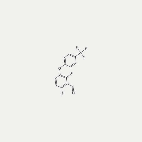 O=Cc1c(F)ccc(Oc2ccc(C(F)(F)F)cc2)c1F